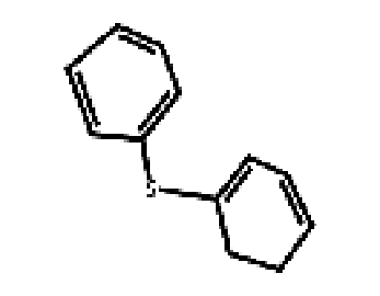 C1=CCCC(Sc2ccccc2)=C1